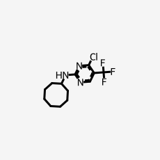 FC(F)(F)c1cnc(NC2CCCCCCC2)nc1Cl